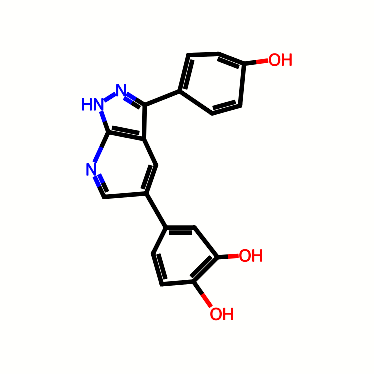 Oc1ccc(-c2n[nH]c3ncc(-c4ccc(O)c(O)c4)cc23)cc1